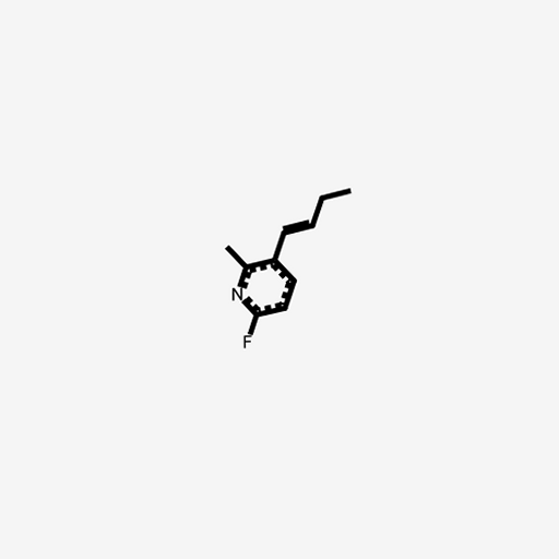 CC/C=C/c1ccc(F)nc1C